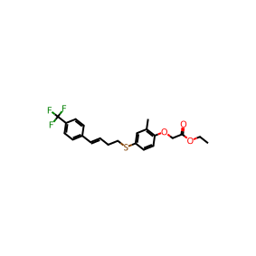 CCOC(=O)COc1ccc(SCCC=Cc2ccc(C(F)(F)F)cc2)cc1C